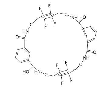 O=C1NCc2c(F)c(F)c(c(F)c2F)CNC(=O)c2cccc(c2)C(O)NCc2c(F)c(F)c(c(F)c2F)CNC(=O)c2cccc1c2